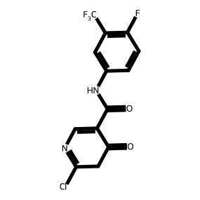 O=C1CC(Cl)=NC=C1C(=O)Nc1ccc(F)c(C(F)(F)F)c1